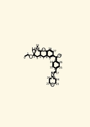 CCOC(=O)CC1Cc2cc(C(=O)c3ccc(C=NN4CCOCC4)cc3)ccc2OC1NC